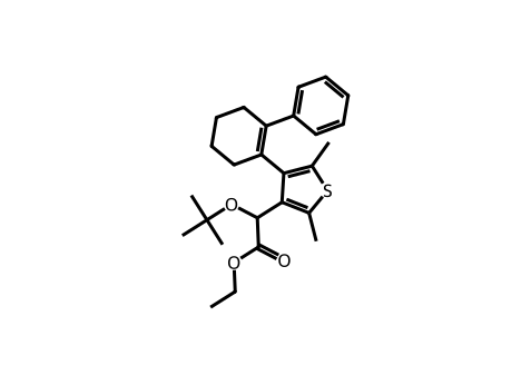 CCOC(=O)C(OC(C)(C)C)c1c(C)sc(C)c1C1=C(c2ccccc2)CCCC1